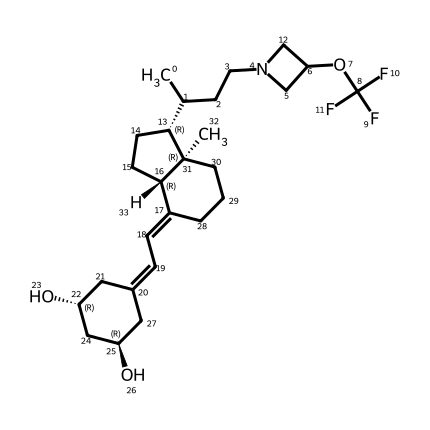 CC(CCN1CC(OC(F)(F)F)C1)[C@H]1CC[C@H]2C(=CC=C3C[C@@H](O)C[C@H](O)C3)CCC[C@]12C